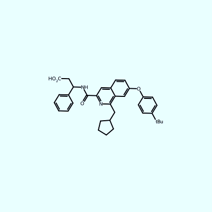 CC(C)(C)c1ccc(Oc2ccc3cc(C(=O)NC(CC(=O)O)c4ccccc4)nc(CC4CCCC4)c3c2)cc1